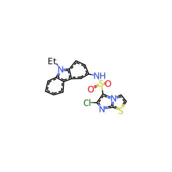 CCn1c2ccccc2c2cc(NS(=O)(=O)c3c(Cl)nc4sccn34)ccc21